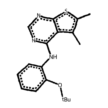 Cc1sc2ncnc(Nc3ccccc3OC(C)(C)C)c2c1C